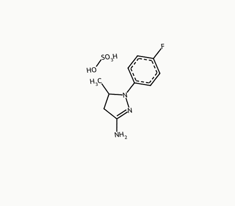 CC1CC(N)=NN1c1ccc(F)cc1.O=S(=O)(O)O